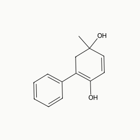 CC1(O)C=CC(O)=C(c2ccccc2)C1